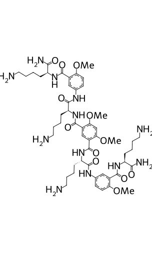 COc1ccc(NC(=O)[C@H](CCCCN)NC(=O)c2cc(C(=O)N[C@@H](CCCCN)C(=O)Nc3ccc(OC)c(C(=O)N[C@@H](CCCCN)C(N)=O)c3)c(OC)cc2OC)cc1C(=O)N[C@@H](CCCCN)C(N)=O